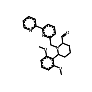 COc1cccc(OC)c1C1CCCC(C=O)N1Cc1cccc(-c2ccccn2)n1